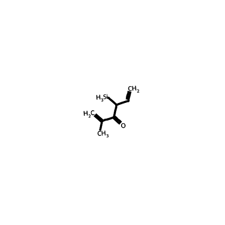 C=CC([SiH3])C(=O)C(=C)C